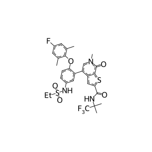 CCS(=O)(=O)Nc1ccc(Oc2c(C)cc(F)cc2C)c(-c2cn(C)c(=O)c3sc(C(=O)NC(C)(C)C(F)(F)F)cc23)c1